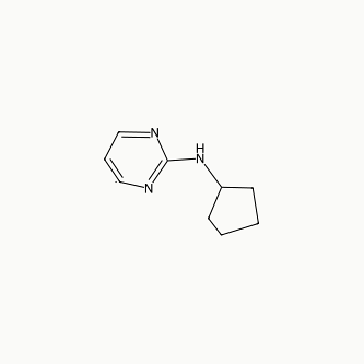 [c]1ccnc(NC2CCCC2)n1